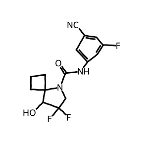 N#Cc1cc(F)cc(NC(=O)N2CC(F)(F)C(O)C23CCC3)c1